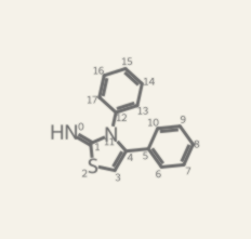 N=c1scc(-c2ccccc2)n1-c1ccccc1